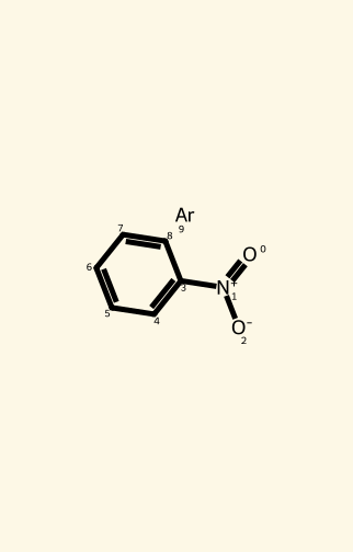 O=[N+]([O-])c1ccccc1.[Ar]